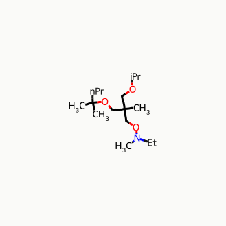 CCCC(C)(C)OCC(C)(COC(C)C)CON(C)CC